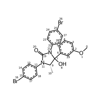 COc1cccc(C2(O)[C@H](C)N(c3ccc(Br)cc3)C(=O)N2c2ccc(Br)cc2)c1